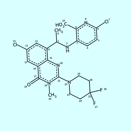 CC(Nc1ccc(Cl)nc1C(=O)O)c1cc(Cl)cc2c(=O)n(C)c(N3CCC(F)(F)CC3)nc12